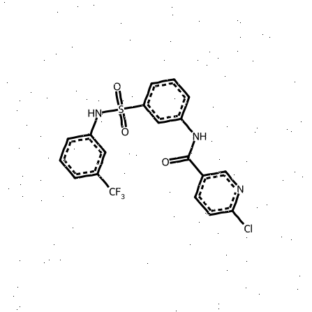 O=C(Nc1cccc(S(=O)(=O)Nc2cccc(C(F)(F)F)c2)c1)c1ccc(Cl)nc1